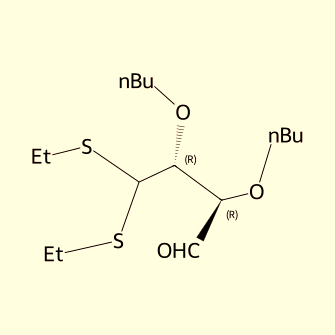 CCCCO[C@@H](C=O)[C@@H](OCCCC)C(SCC)SCC